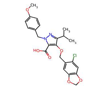 COc1ccc(Cn2nc(C(C)C)c(OCc3cc4c(cc3Cl)OCO4)c2C(=O)O)cc1